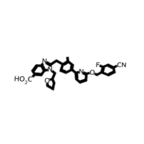 Cc1cc(-c2cccc(OCc3ccc(C#N)cc3F)n2)ccc1Cc1nc2ccc(C(=O)O)cc2n1CC1CCCO1